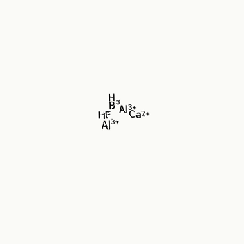 B.F.[Al+3].[Al+3].[Ca+2]